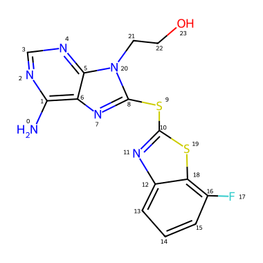 Nc1ncnc2c1nc(Sc1nc3cccc(F)c3s1)n2CCO